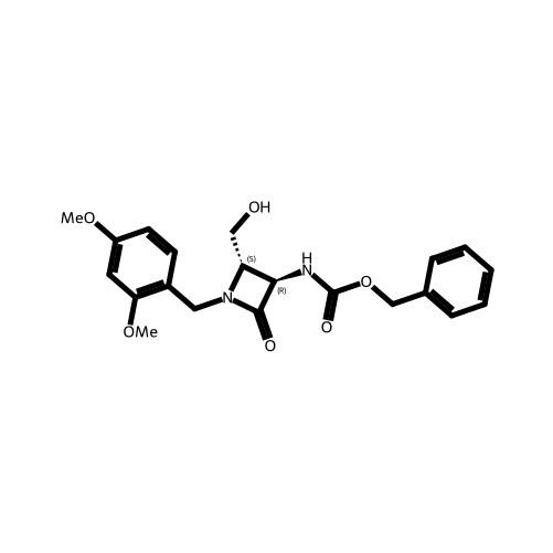 COc1ccc(CN2C(=O)[C@H](NC(=O)OCc3ccccc3)[C@H]2CO)c(OC)c1